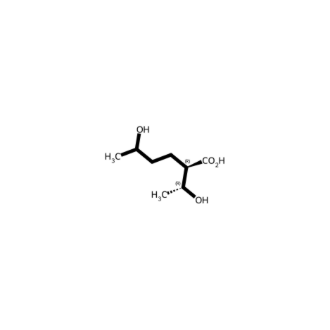 CC(O)CC[C@@H](C(=O)O)[C@@H](C)O